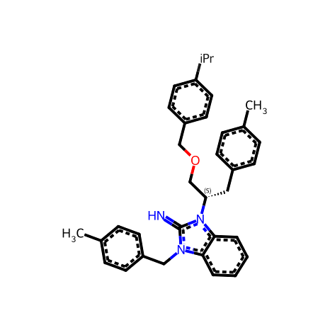 Cc1ccc(C[C@@H](COCc2ccc(C(C)C)cc2)n2c(=N)n(Cc3ccc(C)cc3)c3ccccc32)cc1